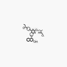 C=CC(=O)N1CCN(c2nc(OCCC(C)NCOC)nc3c2CCN(c2cc(O)cc4ccccc24)C3)CC1